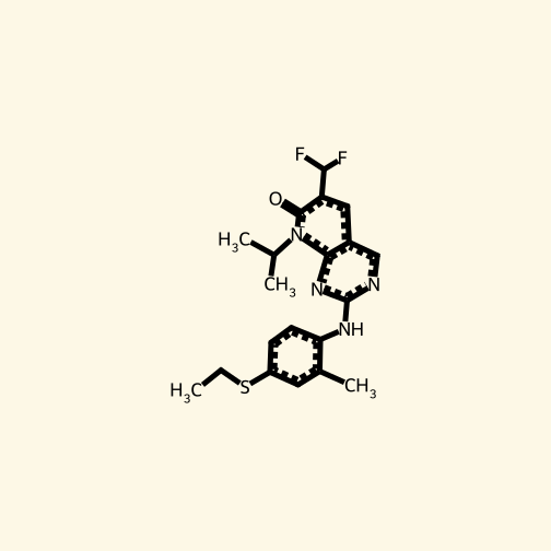 CCSc1ccc(Nc2ncc3cc(C(F)F)c(=O)n(C(C)C)c3n2)c(C)c1